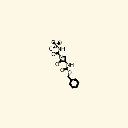 O=C(NC1CN(C(=O)NS(=O)(=O)Cl)C1=O)OCc1ccccc1